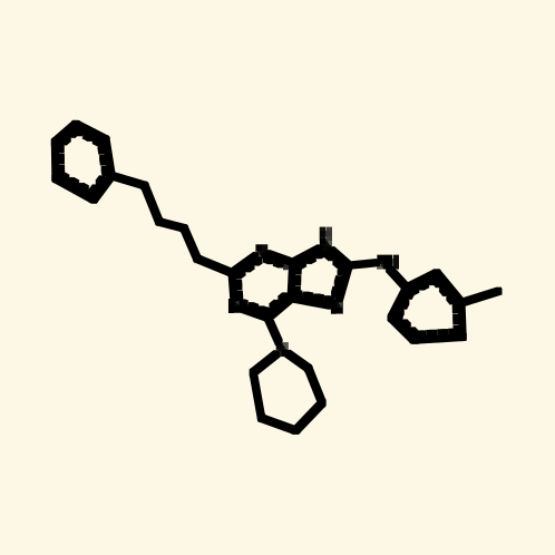 Cc1cccc(Nc2nc3c(N4CCCCC4)nc(CCCCc4ccccc4)nc3[nH]2)c1